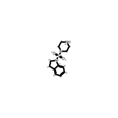 O=S(=O)(N1CCNCC1)N1CCc2ccccc21